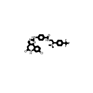 CN(C)C(CNC(=O)c1ccc(Nc2ncc3c(n2)-c2ccc(Cl)cc2NC(=O)C3)cc1)c1ccc(C(F)(F)F)cc1